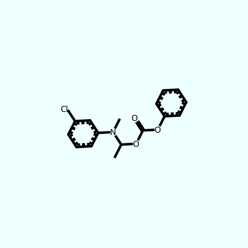 CC(OC(=O)Oc1ccccc1)N(C)c1cccc(Cl)c1